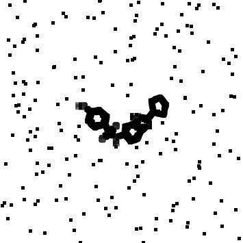 O=S(=O)(Nc1ccc2nc(C3CCCC3)[nH]c2c1)c1ccc(O)cc1